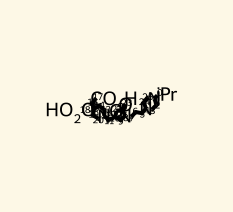 CC(C)N1CCN(CCCN2CC(CN3CCC(CC(=O)O)(C(=O)O)CC3)OC2=O)CC1